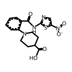 O=C(Nc1ncc([N+](=O)[O-])s1)c1ccccc1N1CCC(C(=O)O)CC1